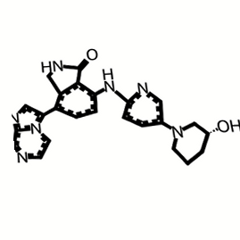 O=C1NCc2c(-c3cnc4cnccn34)ccc(Nc3ccc(N4CCC[C@@H](O)C4)cn3)c21